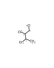 [CH2]C(CC)C(Cl)CCl